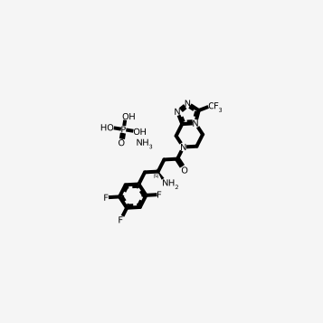 N.N[C@H](CC(=O)N1CCn2c(nnc2C(F)(F)F)C1)Cc1cc(F)c(F)cc1F.O=P(O)(O)O